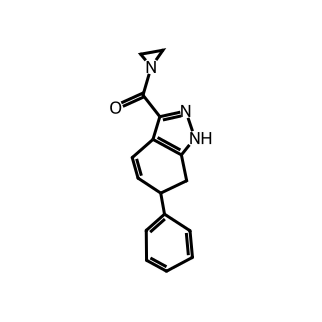 O=C(c1n[nH]c2c1C=CC(c1ccccc1)C2)N1CC1